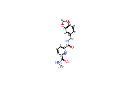 CC(C)NC(=O)c1cccc(C(=O)NCc2ccc3c(c2)OCO3)n1